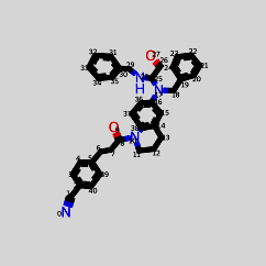 N#Cc1ccc(CCC(=O)N2CCCc3cc(N(Cc4ccccc4)C(C=O)NCc4ccccc4)ccc32)cc1